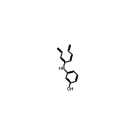 C=C/C=C\C(=C/C=C)Nc1cccc(O)c1